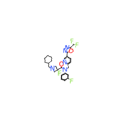 O=C(N(Cc1ccc(-c2nnc(C(F)F)o2)cn1)c1cccc(F)c1)C1(F)CN(CC2CCCCC2)C1